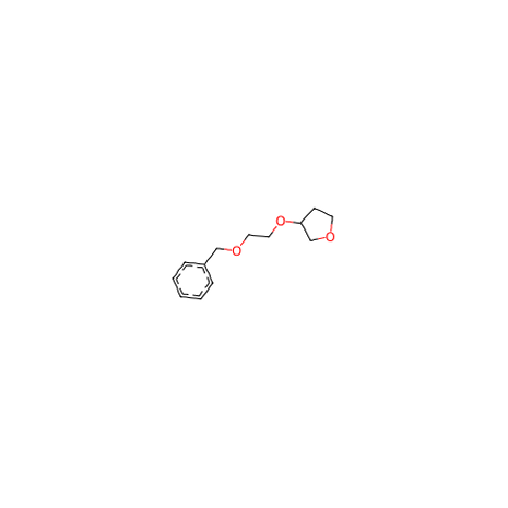 c1ccc(COCCOC2CCOC2)cc1